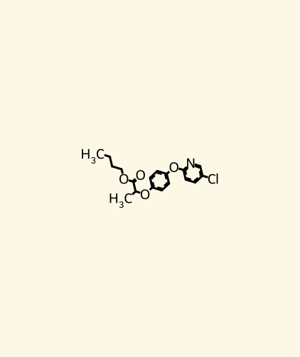 CCCCOC(=O)C(C)Oc1ccc(Oc2ccc(Cl)cn2)cc1